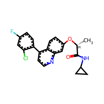 C[C@@H](Oc1ccc2c(-c3ccc(F)cc3Cl)ccnc2c1)C(=O)NC1CC1